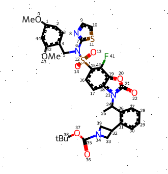 COc1ccc(CN(c2nccs2)S(=O)(=O)c2ccc3c(oc(=O)n3C(C)c3ccccc3C3CN(C(=O)OC(C)(C)C)C3)c2F)c(OC)c1